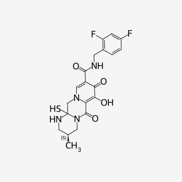 C[C@H]1CNC2(S)Cn3cc(C(=O)NCc4ccc(F)cc4F)c(=O)c(O)c3C(=O)N2C1